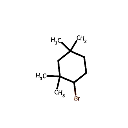 CC1(C)C[CH]C(Br)C(C)(C)C1